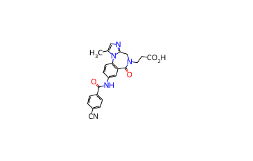 Cc1cnc2n1-c1ccc(NC(=O)c3ccc(C#N)cc3)cc1C(=O)N(CCC(=O)O)C2